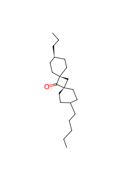 CCCCCC1CC[C@]2(CC1)C[C@@]1(CC[C@H](CCC)CC1)C2=O